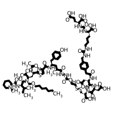 CCCCCCCOCN(C(=O)[C@@H](NC(=O)[C@H]1CCCCN1C)C(C)CC)[C@H](C[C@@H](OC(C)=O)c1nc(C(=O)N[C@@H](Cc2ccc(O)cc2)C[C@H](C)C(=O)NNC(=O)OCCSSC[C@H](NC(=O)[C@H](CC(=O)O)NC(=O)[C@H](CC(=O)O)NC(=O)Cc2ccc(CNC(=O)NCCCC[C@H](NC(=O)N[C@@H](CCC(=O)O)C(=O)O)C(=O)O)cc2)C(=O)O)cs1)C(C)C